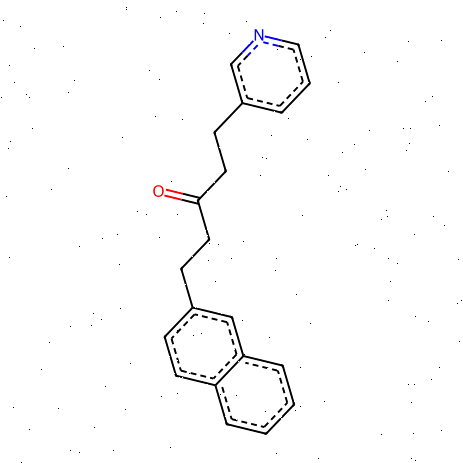 O=C(CCc1cccnc1)CCc1ccc2ccccc2c1